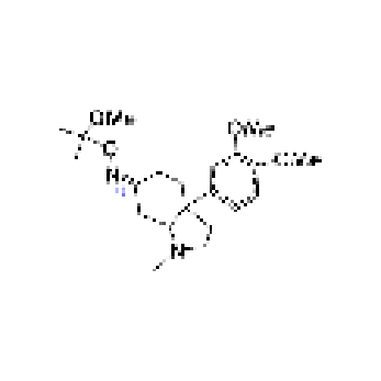 COc1ccc(C23CC/C(=N\OC(C)(C)OC)CC2N(C)CC3)cc1OC